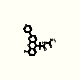 CC(C)(C(=O)NC(N)=O)C1c2ccc(-c3ccncc3)nc2Oc2c(F)cccc21